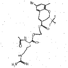 CC(=O)N[C@@H](CCCNC(=N)N)C(=O)OCOC(=O)C1=Cc2cc(Br)cc(C)c2O[C@@H]1C(F)(F)F